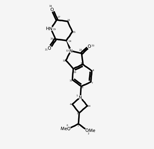 COC(OC)C1CN(c2ccc3c(c2)CN([C@@H]2CCC(=O)NC2=O)C3=O)C1